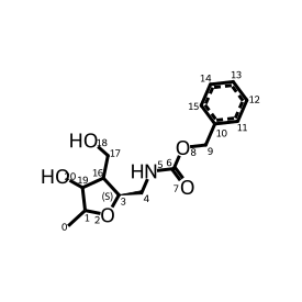 CC1O[C@H](CNC(=O)OCc2ccccc2)C(CO)C1O